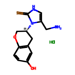 Cl.NCc1c[nH]c(=S)n1[C@H]1COc2ccc(O)cc2C1